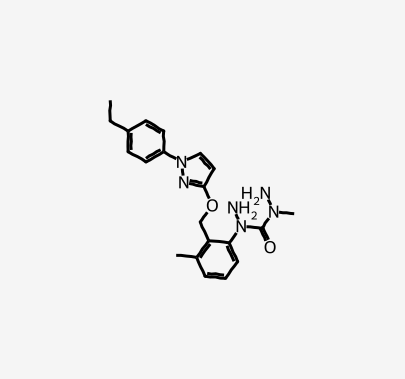 CCc1ccc(-n2ccc(OCc3c(C)cccc3N(N)C(=O)N(C)N)n2)cc1